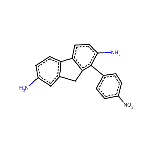 Nc1ccc2c(c1)Cc1c-2ccc(N)c1-c1ccc([N+](=O)[O-])cc1